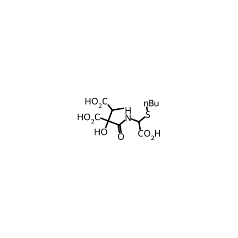 CCCCSC(NC(=O)C(O)(C(=O)O)C(C)C(=O)O)C(=O)O